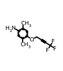 Cc1cc(OCC#CC(F)(F)F)c(C)cc1N